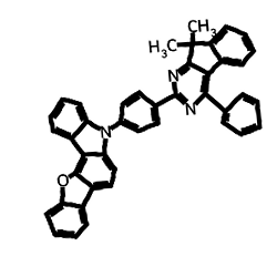 CC1(C)c2ccccc2-c2c(-c3ccccc3)nc(-c3ccc(-n4c5ccccc5c5c6oc7ccccc7c6ccc54)cc3)nc21